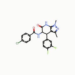 Cc1nn(C)c2c1C(c1ccc(F)c(F)c1)C(NC(=O)c1ccc(Cl)cc1)C(=O)N2